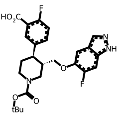 CC(C)(C)OC(=O)N1CC[C@@H](c2ccc(F)c(C(=O)O)c2)[C@H](COc2cc3cn[nH]c3cc2F)C1